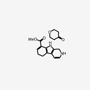 COC(=O)C1=CCCc2c1[nH]c1c2C=CNC1.O=C1CCOCC1